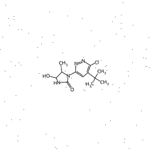 CC1C(O)NC(=O)N1c1cc(C(C)(C)C)c(Cl)nn1